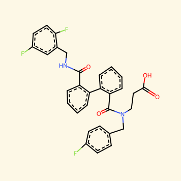 O=C(O)CCN(Cc1ccc(F)cc1)C(=O)c1ccccc1-c1ccccc1C(=O)NCc1cc(F)ccc1F